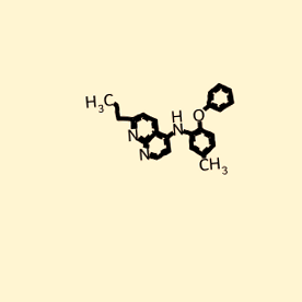 CCCc1ccc2c(Nc3cc(C)ccc3Oc3ccccc3)ccnc2n1